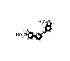 C[C@H]1CC(c2cccc(OCc3ccc4cnn(C)c4c3)n2)=CCN1C(=O)O